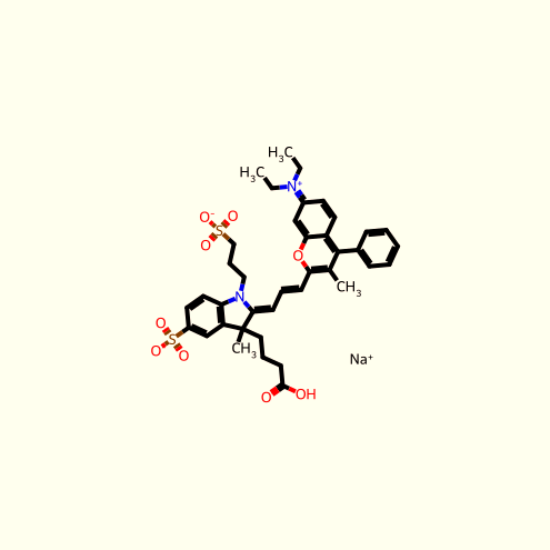 CC[N+](CC)=c1ccc2c(-c3ccccc3)c(C)c(C=CC=C3N(CCCS(=O)(=O)[O-])c4ccc(S(=O)(=O)[O-])cc4C3(C)CCCC(=O)O)oc-2c1.[Na+]